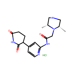 C[C@@H]1CNC[C@H](C)N1CC(=O)Nc1cc(C2CCC(=O)NC2=O)ccn1.Cl